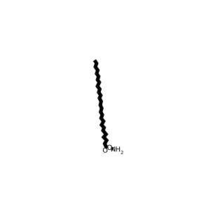 CCCCCCCCCCCCCCCCCCCCCCCCCCCC(=O)ON